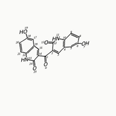 O=C(c1cc2cc(O)ccc2[nH]c1=O)c1cc2cc(O)ccc2[nH]c1=O